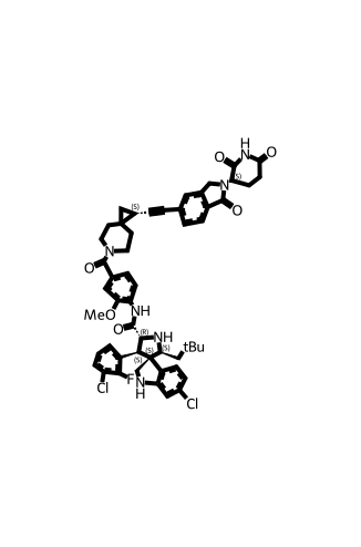 COc1cc(C(=O)N2CCC3(CC2)C[C@@H]3C#Cc2ccc3c(c2)CN([C@H]2CCC(=O)NC2=O)C3=O)ccc1NC(=O)[C@@H]1N[C@@H](CC(C)(C)C)[C@@]2(CNc3cc(Cl)ccc32)[C@H]1c1cccc(Cl)c1F